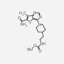 Cc1c(C(N)=O)sc2c(N3CCC(CCNC(=O)OC(C)(C)C)CC3)ncnc12